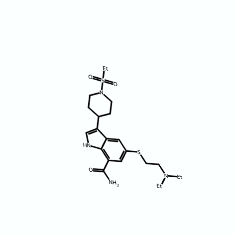 CCN(CC)CCSc1cc(C(N)=O)c2[nH]cc(C3CCN(S(=O)(=O)CC)CC3)c2c1